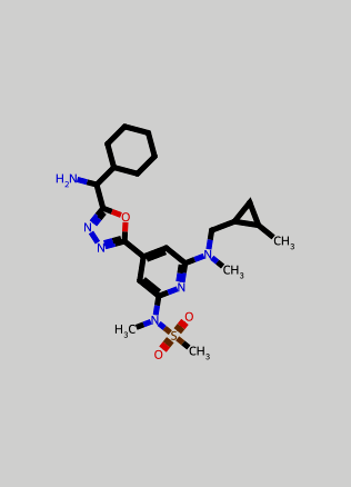 CC1CC1CN(C)c1cc(-c2nnc(C(N)C3CCCCC3)o2)cc(N(C)S(C)(=O)=O)n1